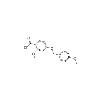 COc1ccc(COc2ccc(C(=O)Cl)c(OC)c2)cc1